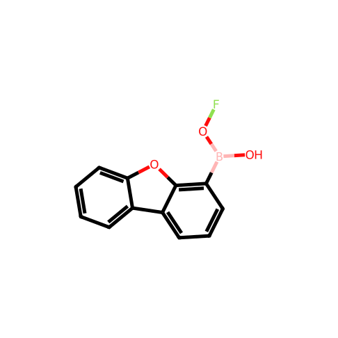 OB(OF)c1cccc2c1oc1ccccc12